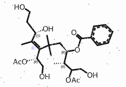 CC(=O)OC(CO)[C@H](C)[C@@H](CC(C)(C)/C(=C(/C)[C@@H](O)CCO)[C@H](CO)OC(C)=O)OC(=O)c1ccccc1